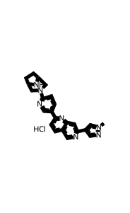 Cl.Cn1cc(-c2cc3nc(-c4ccc(N5CC6CCC(C5)N6)nc4)ccc3cn2)cn1